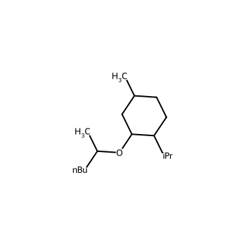 CCCCC(C)OC1CC(C)CCC1C(C)C